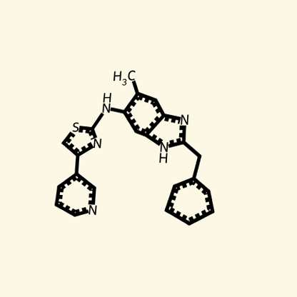 Cc1cc2nc(Cc3ccccc3)[nH]c2cc1Nc1nc(-c2cccnc2)cs1